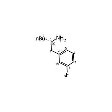 CCCC[C@H](N)Cc1cccc(F)c1